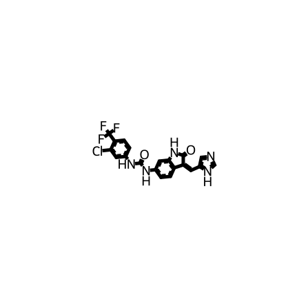 O=C(Nc1ccc(C(F)(F)F)c(Cl)c1)Nc1ccc2c(c1)NC(=O)C2=Cc1cnc[nH]1